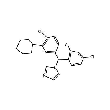 Clc1ccc(C(c2ccc(Cl)c(C3CCCCC3)c2)n2ccnc2)c(Cl)c1